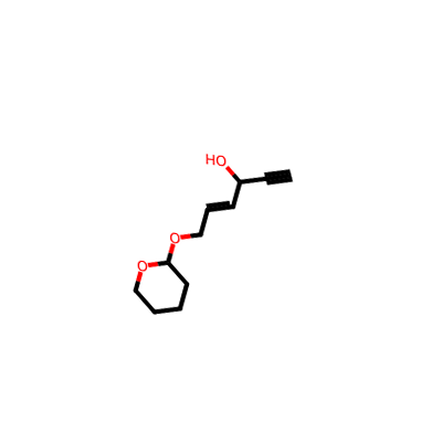 C#CC(O)C=CCOC1CCCCO1